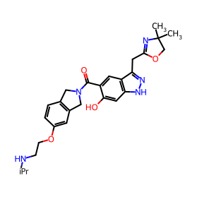 CC(C)NCCOc1ccc2c(c1)CN(C(=O)c1cc3c(CC4=NC(C)(C)CO4)n[nH]c3cc1O)C2